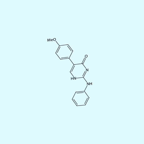 COc1ccc(-c2c[nH]c(Nc3ccccc3)nc2=O)cc1